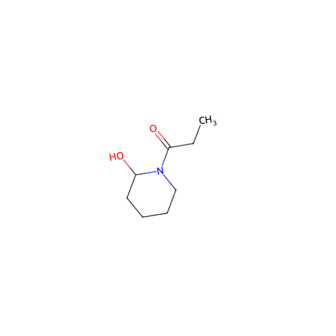 CCC(=O)N1CCCCC1O